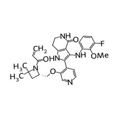 C=CC(=O)N1[C@H](COc2cnccc2-c2[nH]c3c(c2Nc2cccc(F)c2OC)C(=O)NCC3)CC1(C)C